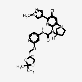 Cn1cc(-c2nc3c(cc2Cl)N2CC[C@@H](C2)N3C(=O)Nc2ccnc(OC[C@H]3COC(C)(C)O3)c2)cn1